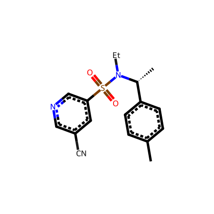 CCN([C@H](C)c1ccc(C)cc1)S(=O)(=O)c1cncc(C#N)c1